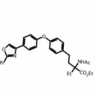 CCCc1nc(-c2ccc(Oc3ccc(CCC(CC)(NC(C)=O)C(=O)OCC)cc3)cc2)co1